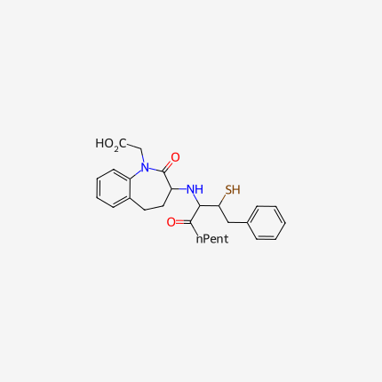 CCCCCC(=O)C(NC1CCc2ccccc2N(CC(=O)O)C1=O)C(S)Cc1ccccc1